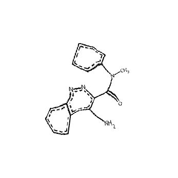 CN(C(=O)c1nnc2ccccc2c1N)c1ccccc1